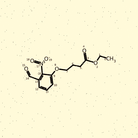 CCOC(=O)CCCOc1cccc(C=O)c1[N+](=O)[O-]